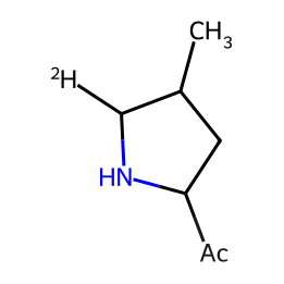 [2H]C1NC(C(C)=O)CC1C